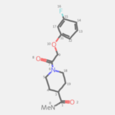 CNC(=O)C1CCN(C(=O)COc2cccc(F)c2)CC1